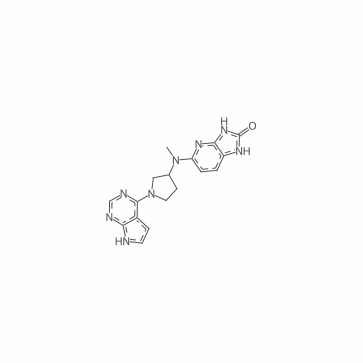 CN(c1ccc2[nH]c(=O)[nH]c2n1)C1CCN(c2ncnc3[nH]ccc23)C1